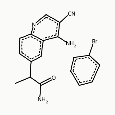 Brc1ccccc1.CC(C(N)=O)c1ccc2ncc(C#N)c(N)c2c1